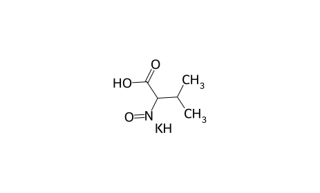 CC(C)C(N=O)C(=O)O.[KH]